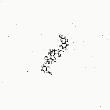 N#Cc1cccc(CNC(=O)c2c[nH]c3c(C(=O)NCc4ccc5c(c4)NC(=O)CO5)ncnc23)c1